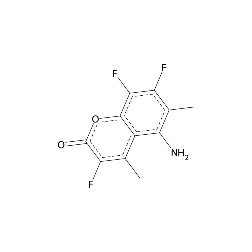 Cc1c(F)c(F)c2oc(=O)c(F)c(C)c2c1N